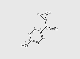 CCCC(c1ccc(O)cc1)C1CO1